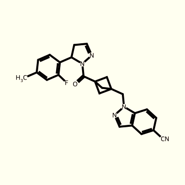 Cc1ccc(C2CC=NN2C(=O)C23CC(Cn4ncc5cc(C#N)ccc54)(C2)C3)c(F)c1